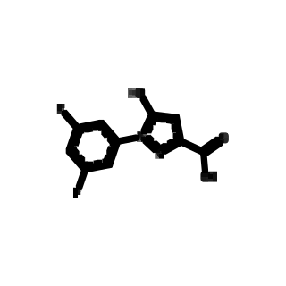 O=C(O)c1cc(O)n(-c2cc(F)cc(F)c2)n1